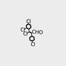 O=C/C(=C(/Cl)c1ccc(Cl)cc1Cl)c1ccc(Cl)cc1